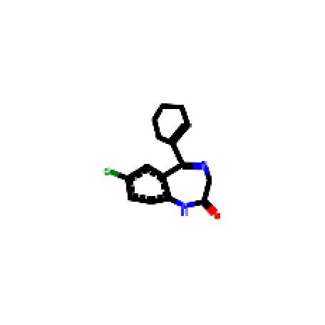 O=C1CN=C(C2=CCCCC2)c2cc(Cl)ccc2N1